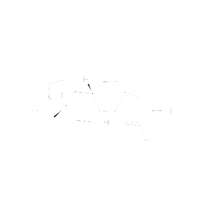 C[C@@H]1Cc2cc(O)c(Br)cc2[C@H]2CC[C@]3(C)C(=O)CC[C@H]3[C@H]12